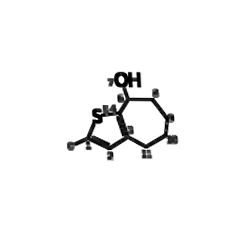 Cc1cc2c(s1)C(O)CCCC2